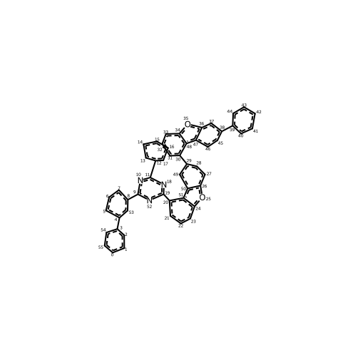 c1ccc(-c2cccc(-c3nc(-c4ccccc4)nc(-c4cccc5oc6ccc(-c7cccc8oc9cc(-c%10ccccc%10)ccc9c78)cc6c45)n3)c2)cc1